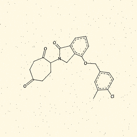 Cc1cc(COc2cccc3c2CN(C2CCC(=O)CCC2=O)C3=O)ccc1Cl